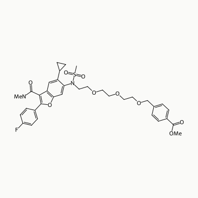 CNC(=O)c1c(-c2ccc(F)cc2)oc2cc(N(CCOCCOCCOCc3ccc(C(=O)OC)cc3)S(C)(=O)=O)c(C3CC3)cc12